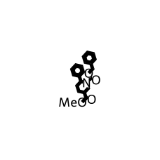 COC(=O)C1CCC(c2ccccc2)N(C(=O)OCc2ccccc2)C1